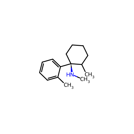 CN[C@@]1(c2ccccc2C)CCCCC1C